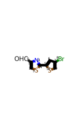 O=Cc1csc(-c2cc(Br)cs2)n1